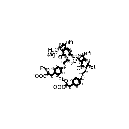 CCCc1nn(C)c2c(=O)n(CCOc3ccc(CC(OCC)C(=O)[O-])cc3)c(CC)nc12.CCCc1nn(C)c2c(=O)n(CCOc3ccc(CC(OCC)C(=O)[O-])cc3)c(CC)nc12.[Mg+2]